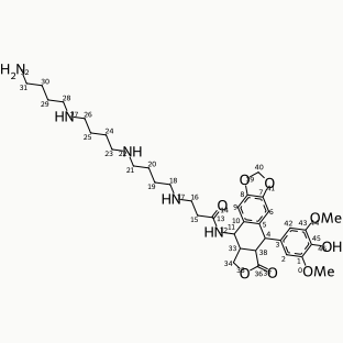 COc1cc(C2c3cc4c(cc3C(NC(=O)CCNCCCCNCCCCNCCCCN)C3COC(=O)C23)OCO4)cc(OC)c1O